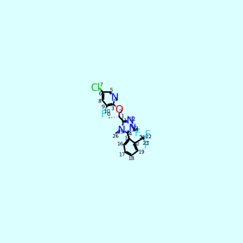 C[C@H](Oc1ncc(Cl)cc1F)c1nnc(-c2ccccc2C(F)(F)F)n1C